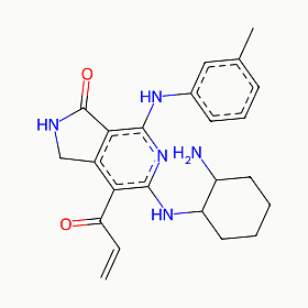 C=CC(=O)c1c(NC2CCCCC2N)nc(Nc2cccc(C)c2)c2c1CNC2=O